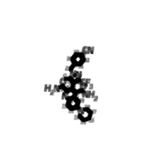 Cc1c(-c2c(C(N)=O)nc3ccc(N4CCCCC4)cc3c2C(N)=O)c(C(F)(F)F)nn1Cc1ccc(C#N)cc1